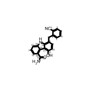 N#Cc1ccccc1Cc1ccc(O)c2c1[nH]c1cccc(C(N)=O)c12